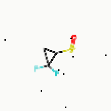 O=[S+]C1CC1(F)F